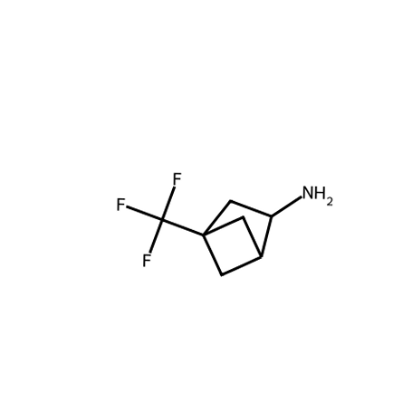 NC1CC2(C(F)(F)F)CC1C2